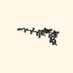 CCCCCCCCCCCC(=O)SCCNC(=O)CCNC(=O)[C@H](O)C(C)(C)COP(=O)(O)OP(=O)(O)OC[C@H]1O[C@@H](n2cnc3c(N)ncnc32)[C@H](O)[C@@H]1OP(=O)(O)O